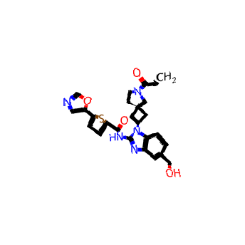 C=CC(=O)N1CC[C@]2(C1)C[C@H](n1c(NC(=O)c3ccc(-c4cnco4)s3)nc3cc(CO)ccc31)C2